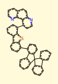 c1ccc2c(c1)-c1ccccc1C21c2ccccc2-c2c(-c3cccc4c3sc3c(-c5ccnc6ccc7cccnc7c56)cccc34)cccc21